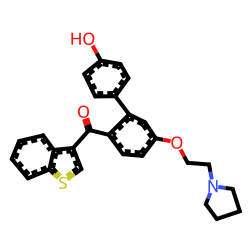 O=C(c1ccc(OCCN2CCCC2)cc1-c1ccc(O)cc1)c1csc2ccccc12